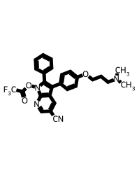 CN(C)CCCOc1ccc(-c2c(-c3ccccc3)n(OC(=O)C(F)(F)F)c3ncc(C#N)cc23)cc1